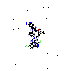 C[C@@H]1CCC[C@H](n2cnc(-c3cc(Cl)ccc3-n3cc(Cl)nn3)cc2=O)c2cc(ccn2)-c2nn(C3CCNCC3)cc2NC1=O